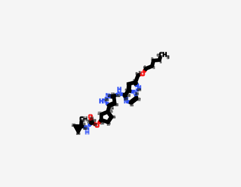 CCCCCOCc1cc2c(Nc3cc(C4CCC(OC(=O)NC5(C)CC5)C4)[nH]n3)nccn2n1